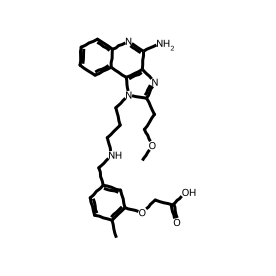 COCCc1nc2c(N)nc3ccccc3c2n1CCCNCc1ccc(C)c(OCC(=O)O)c1